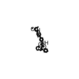 COc1cc(C)nc(N2CCN(c3ccc(NC(=O)C(=O)c4c(-c5ccccc5)cc5n4CCCC5)cc3)CC2)c1